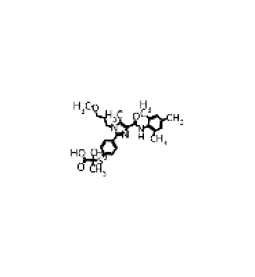 COCCCn1c(-c2ccc(SC(C)(C)C(=O)O)cc2)nc(C(=O)Nc2c(C)cc(C)cc2C)c1C